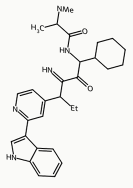 CCC(C(=N)C(=O)C(NC(=O)C(C)NC)C1CCCCC1)c1ccnc(-c2c[nH]c3ccccc23)c1